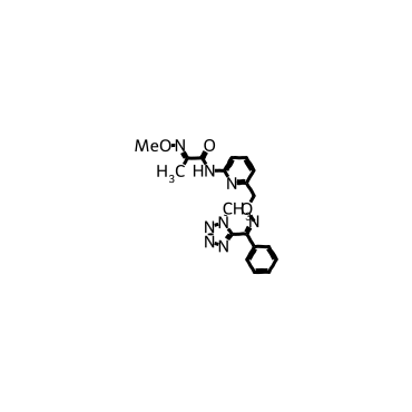 CO/N=C(\C)C(=O)Nc1cccc(CO/N=C(/c2ccccc2)c2nnnn2C)n1